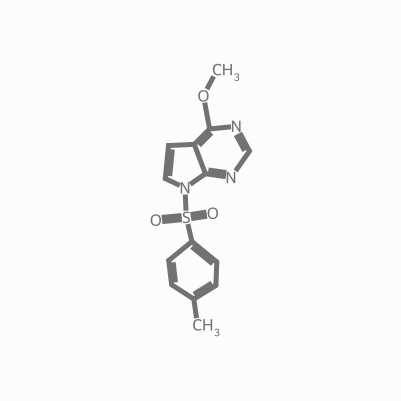 COc1ncnc2c1ccn2S(=O)(=O)c1ccc(C)cc1